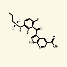 CCCS(=O)(=O)Nc1ccc(F)c(C(=O)c2c[nH]c3ncc(C(=O)O)cc23)c1F